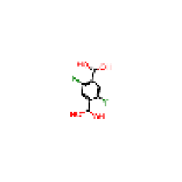 OB(O)c1cc(F)c(C(O)O)cc1F